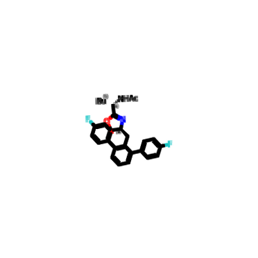 CC[C@H](C)[C@H](NC(C)=O)C1=N[C@@H](Cc2c(-c3ccc(F)cc3)cccc2-c2ccc(F)cc2)CO1